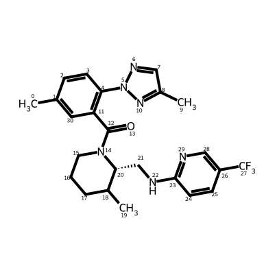 Cc1ccc(-n2ncc(C)n2)c(C(=O)N2CCCC(C)[C@H]2CNc2ccc(C(F)(F)F)cn2)c1